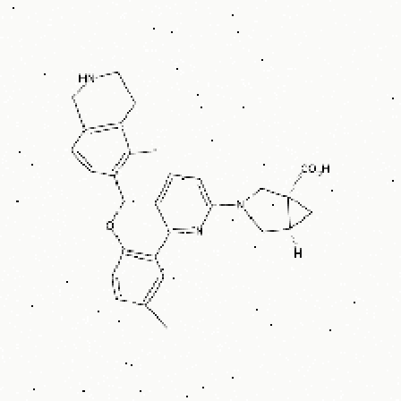 Cc1ccc(OCc2ccc3c(c2C)CCNC3)c(-c2cccc(N3C[C@@H]4C[C@]4(C(=O)O)C3)n2)c1